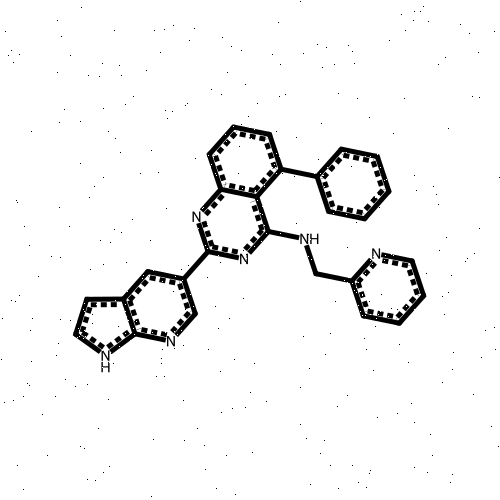 c1ccc(-c2cccc3nc(-c4cnc5[nH]ccc5c4)nc(NCc4ccccn4)c23)cc1